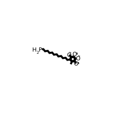 COc1c(C)c(CCCCCCCCCCCCP)c(OC)c(OC)c1OC